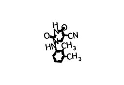 Cc1cccc(Nn2cc(C#N)c(=O)[nH]c2=O)c1C